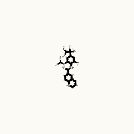 O=C(Nc1c(Cl)cc(C(F)(C(F)F)C(F)(F)F)cc1OC(F)F)c1ccc2ncccc2c1